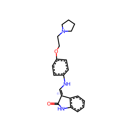 O=C1Nc2ccccc2/C1=C\Nc1ccc(OCCN2CCCC2)cc1